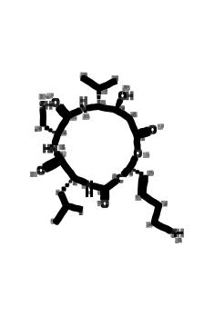 CC(C)C[C@H]1NC(=O)C[C@@H](/C=C/CCS)OC(=O)C[C@H](O)[C@@H](C(C)C)NC(=O)[C@@H](CS)NC1=O